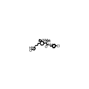 CNC1=C(C(=N)C(=O)NCc2ccc(Cl)cc2)CCC(CCC[C@H]2CCC(=O)N2)C12CCC2